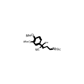 COc1ccc(C(C#N)(CCCNC(C)=O)C(C)C)cc1OC